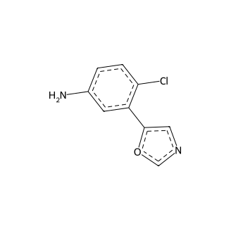 Nc1ccc(Cl)c(-c2cnco2)c1